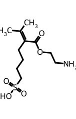 CC(C)=C(CCCCS(=O)(=O)O)C(=O)OCCN